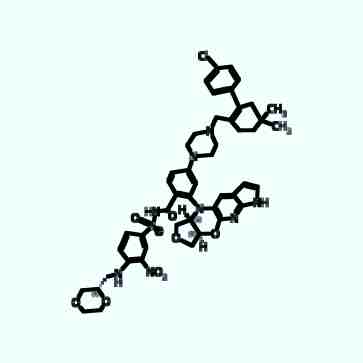 CC1(C)CCC(CN2CCN(c3ccc(C(=O)NS(=O)(=O)c4ccc(NC[C@H]5COCCO5)c([N+](=O)[O-])c4)c(N4c5cc6cc[nH]c6nc5O[C@H]5COC[C@@H]54)c3)CC2)=C(c2ccc(Cl)cc2)C1